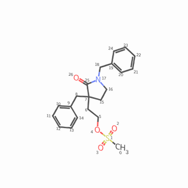 CS(=O)(=O)OCCC1(Cc2ccccc2)CCN(Cc2ccccc2)C1=O